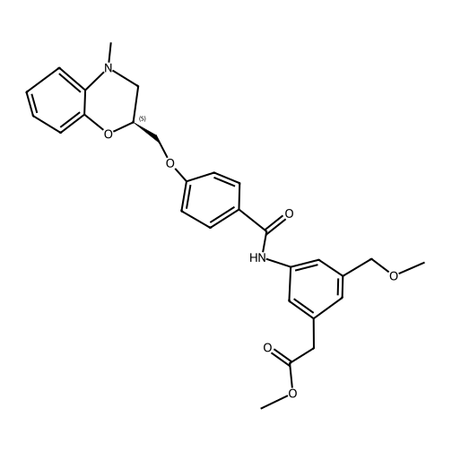 COCc1cc(CC(=O)OC)cc(NC(=O)c2ccc(OC[C@@H]3CN(C)c4ccccc4O3)cc2)c1